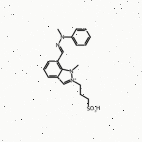 CN(N=Cc1cccc2c[n+](CCCS(=O)(=O)O)n(C)c12)c1ccccc1